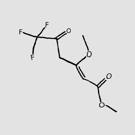 COC(=O)/C=C(/CC(=O)C(F)(F)F)OC